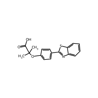 CC(C)(Oc1ccc(-c2nc3ccccc3s2)cc1)C(=O)O